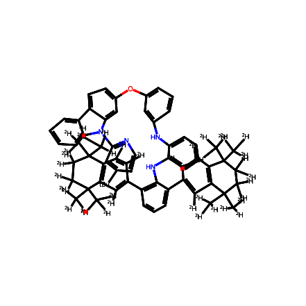 [2H]c1c([2H])c2c(c([2H])c1-c1cccc(-c3c([2H])c([2H])c4c(c3[2H])C(C([2H])([2H])[2H])(C([2H])([2H])[2H])C([2H])([2H])C([2H])([2H])C4(C([2H])([2H])[2H])C([2H])([2H])[2H])c1Nc1ccccc1Nc1cccc(Oc3ccc4c5ccccc5n(-c5cc(C(C)(C)C)ccn5)c4c3)c1)C(C([2H])([2H])[2H])(C([2H])([2H])[2H])C([2H])([2H])C([2H])([2H])C2(C([2H])([2H])[2H])C([2H])([2H])[2H]